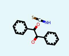 N=C=S.O=C(C(=O)c1ccccc1)c1ccccc1